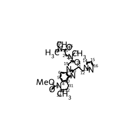 COC(=O)N1c2ccc3c(nc(CCn4cccn4)n3CC(=O)N(C)CC(=O)N(C)C)c2CC[C@@H]1C